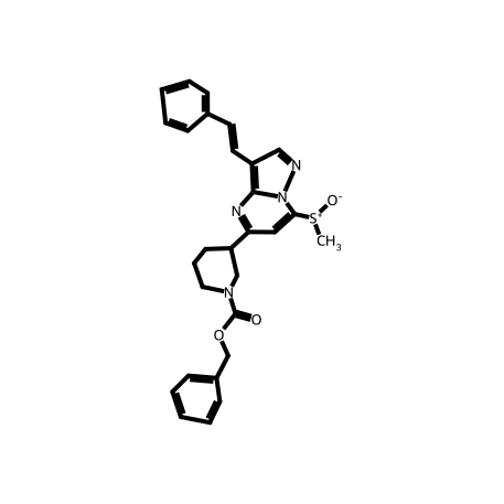 C[S+]([O-])c1cc(C2CCCN(C(=O)OCc3ccccc3)C2)nc2c(/C=C/c3ccccc3)cnn12